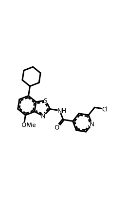 COc1ccc(C2CCCCC2)c2sc(NC(=O)c3ccnc(CCl)c3)nc12